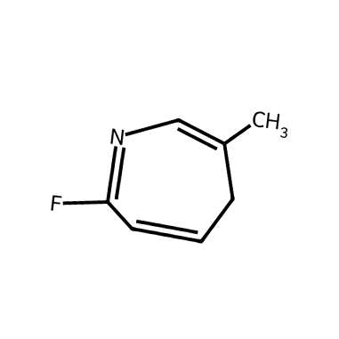 CC1=CN=C(F)C=CC1